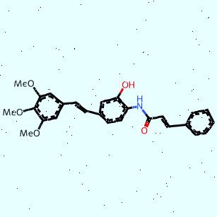 COc1cc(C=Cc2ccc(NC(=O)C=Cc3ccccc3)c(O)c2)cc(OC)c1OC